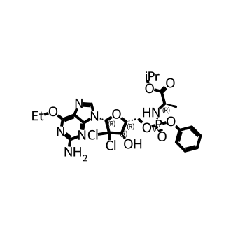 CCOc1nc(N)nc2c1ncn2[C@@H]1O[C@H](CO[P@](=O)(N[C@H](C)C(=O)OC(C)C)Oc2ccccc2)[C@@H](O)C1(Cl)Cl